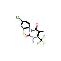 Cc1c(C(F)(F)F)n(C)c(=O)n(-c2ccc(Cl)cc2F)c1=O